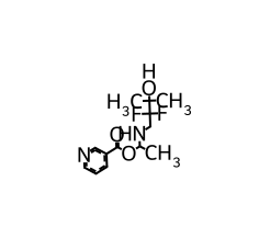 CC(NCC(F)(F)C(C)(C)O)OC(=O)c1cccnc1